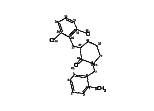 Cc1ccccc1CN1CCCC(Cc2c(Cl)cccc2Cl)C1=O